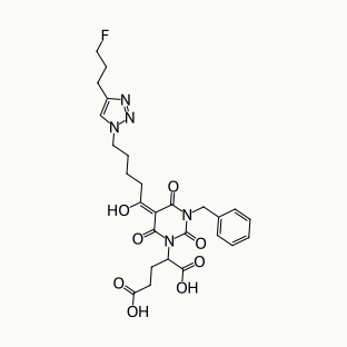 O=C(O)CCC(C(=O)O)N1C(=O)C(=C(O)CCCCn2cc(CCCF)nn2)C(=O)N(Cc2ccccc2)C1=O